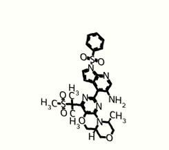 C[C@H]1COC[C@@H]2COc3c(nc(-c4c(N)cnc5c4ccn5S(=O)(=O)c4ccccc4)nc3C(C)(C)S(C)(=O)=O)N21